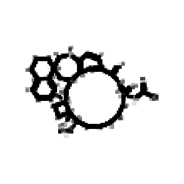 CCC(=O)N[S@]1(=O)=NC(=O)c2ccc3c(c2)N(C[C@@H]2CC[C@H]2[C@@H](OC)CCCCC1)C[C@@]1(CCCc2ccccc21)CO3